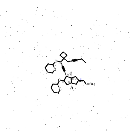 CCC#CCC1([C@@H](C#C[C@H]2[C@H]3C/C(=C/CO)C[C@H]3C[C@H]2OC2CCCCO2)OC2CCCCO2)CCC1